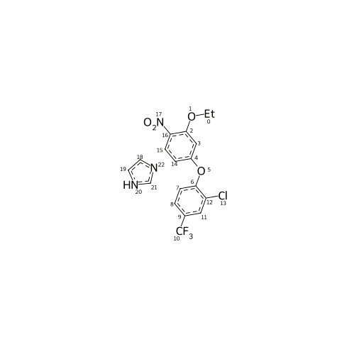 CCOc1cc(Oc2ccc(C(F)(F)F)cc2Cl)ccc1[N+](=O)[O-].c1c[nH]cn1